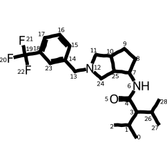 CC(C)C(C(=O)NC1CCC2CN(Cc3cccc(C(F)(F)F)c3)CC21)C(C)C